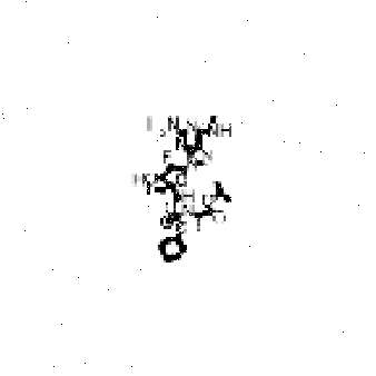 CNc1nc(N)nc2c1ncn2[C@@H]1O[C@](CF)(CO[P@@](=O)(N[C@@H](C)C(=O)OC(C)C)Oc2ccccc2)[C@@H](O)[C@@H]1F